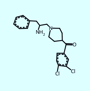 NC(Cc1ccccc1)CN1CCC(C(=O)c2ccc(Cl)c(Cl)c2)CC1